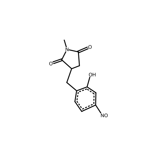 CN1C(=O)CC(Cc2ccc(N=O)cc2O)C1=O